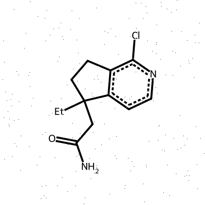 CCC1(CC(N)=O)CCc2c1ccnc2Cl